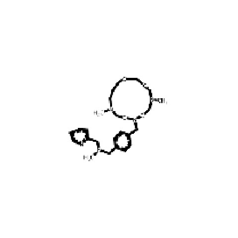 CN1CCCOCCCN(C)CCN(Cc2ccc(CN(C)Cc3ccccn3)cc2)CC1